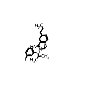 CCCC1C=Cc2ncnc(Nc3ccc(I)cc3OC(C)C)c2C1